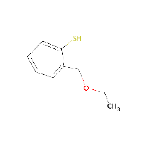 CCOCc1ccccc1S